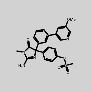 COc1cncc(-c2cccc(C3(c4ccc(OS(C)(=O)=O)cc4)N=C(N)N(C)C3=O)c2)c1